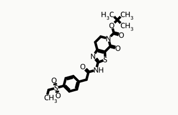 CCS(=O)(=O)c1ccc(CC(=O)Nc2nc3c(s2)C(=O)N(C(=O)OC(C)(C)C)CC3)cc1